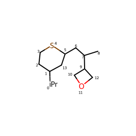 CC(C)C1CCSC(CC(C)C2COC2)C1